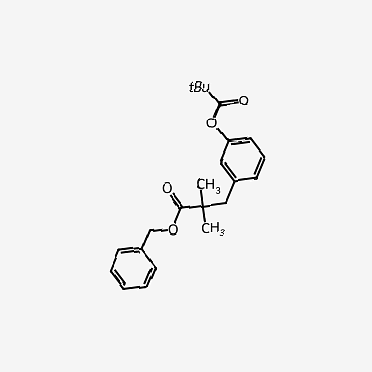 CC(C)(C)C(=O)Oc1cccc(CC(C)(C)C(=O)OCc2ccccc2)c1